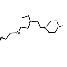 CCN(CCNCCNC)CCN1CCNCC1